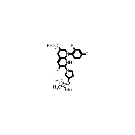 CCOC(=O)C1=CN(c2ccc(F)cc2F)C2NC(N3CCC(O[Si](C)(C)C(C)(C)C)C3)=C(F)C=C2C1